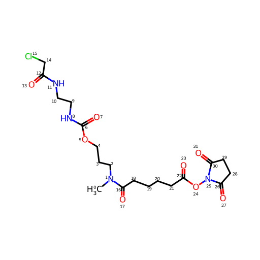 CN(CCCOC(=O)NCCNC(=O)CCl)C(=O)CCCCC(=O)ON1C(=O)CCC1=O